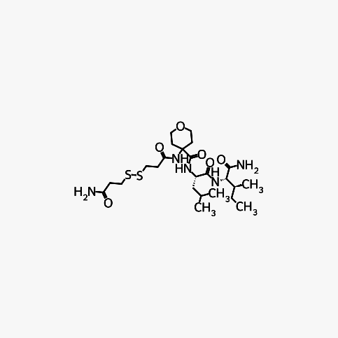 CC[C@H](C)[C@H](NC(=O)[C@H](CC(C)C)NC(=O)C1(NC(=O)CCSSCCC(N)=O)CCOCC1)C(N)=O